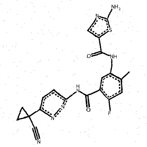 Cc1cc(F)c(C(=O)Nc2ccc(C3(C#N)CC3)nn2)cc1NC(=O)c1cnc(N)s1